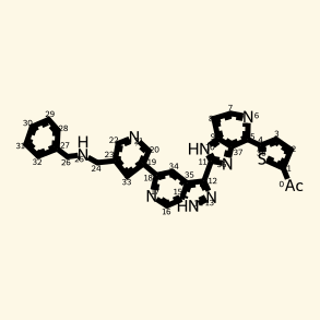 CC(=O)c1ccc(-c2nccc3[nH]c(-c4n[nH]c5cnc(-c6cncc(CNCc7ccccc7)c6)cc45)nc23)s1